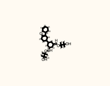 CC(C)(O)C(C)(C)OBC1CC(BOC(C)(C)C(C)(C)O)CC(C2CCC3=C(C2)C2CCC=CC2O3)C1